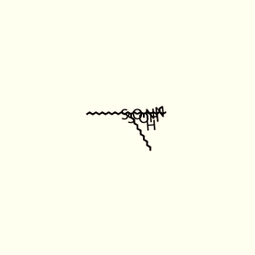 CCCCCCCCCCCCSCC(COCC(O)CNCCN(CC)CC)SCCCCCCCCCCCC